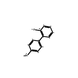 CCCc1ccc(-c2[c]cccc2F)cc1